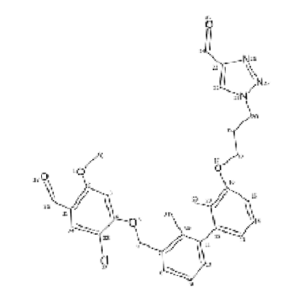 COc1cc(OCc2cccc(-c3cccc(OCCCn4cc(C=O)nn4)c3C)c2C)c(Cl)cc1C=O